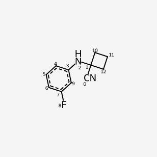 N#CC1(Nc2cccc(F)c2)CCC1